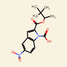 CC(OC(=O)c1cc2cc([N+](=O)[O-])ccc2n1C(=O)O)C(C)(C)C